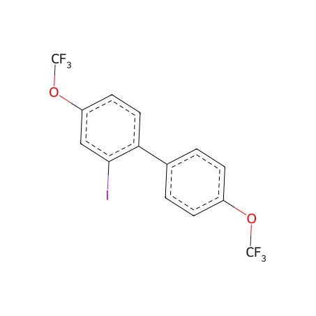 FC(F)(F)Oc1ccc(-c2ccc(OC(F)(F)F)cc2I)cc1